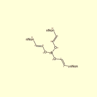 CCCCCCCCCC=COB(OC=CCCCCCCCCC)OC=CCCCCCCCCC